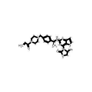 C=CC(=O)N1CCN(Cc2ccc([C@H](C)Nc3nc(N4C(=O)OCC4C(C)C)c4sccc4n3)cc2)CC1